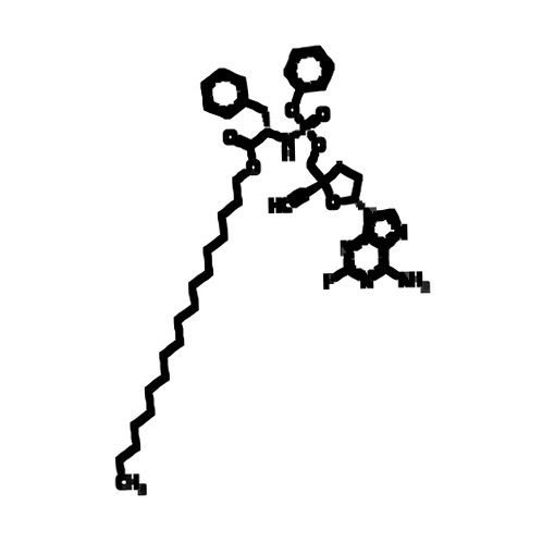 C#C[C@@]1(CO[P@@](=O)(N[C@@H](Cc2ccccc2)C(=O)OCCCCCCCCCCCCCCCCCC)Oc2ccccc2)[CH]C[C@H](n2cnc3c(N)nc(F)nc32)O1